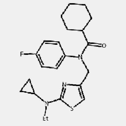 CCN(c1nc(CN(C(=O)C2CCCCC2)c2ccc(F)cc2)cs1)C1CC1